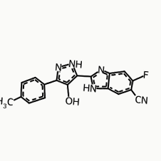 Cc1ccc(-c2n[nH]c(-c3nc4cc(F)c(C#N)cc4[nH]3)c2O)cc1